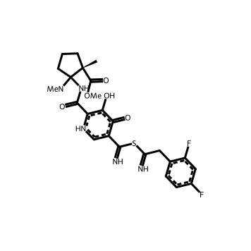 CNC1(NC(=O)c2[nH]cc(C(=N)SC(=N)Cc3ccc(F)cc3F)c(=O)c2O)CCC[C@]1(C)C(=O)OC